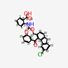 O=C(Nc1ccccc1C(=O)O)OCc1ccc2c(c1C(=O)c1ccccc1)-c1cc(Cl)ccc1C2